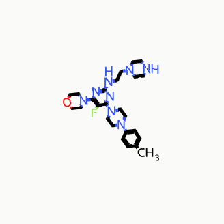 Cc1ccc(N2CCN(c3nc(NCCN4CCNCC4)nc(N4CCOCC4)c3F)CC2)cc1